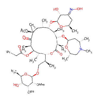 CO[C@@H]1[C@H](O)[C@@H](C)O[C@@H](OC[C@H](C)[C@H]2OC(=O)[C@H](C)[C@@H](O[C@H]3C[C@H](C)N(C)C[C@H](C)O3)[C@H](C)[C@@H](O[C@@H]3O[C@H](C)C/C(=N\O)[C@H]3O)[C@@H](C)C[C@](C)(OC(C)=O)C(=O)[C@H](C)[C@H](OC(=O)CC(C)C)[C@H]2C)[C@@H]1OC